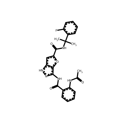 CC(=O)Nc1ccccc1C(=O)Nc1n[nH]c2cc(C(=O)NC(C)(C)c3ccccc3F)oc12